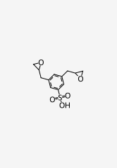 O=S(=O)(O)c1cc(CC2CO2)cc(CC2CO2)c1